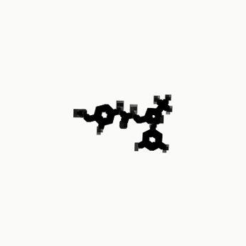 O=C(NCc1cc(C(F)(F)F)nn1-c1cc(F)cc(F)c1)Nc1ccc(CO)c(F)c1